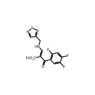 CCOC(=O)C(=CNCc1cnsn1)C(=O)c1cc(F)c(F)cc1F